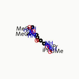 CCCN(Cc1nc2ccc(-c3ccc4c(c3)COc3cc5c6c(ccc5cc3-4)NC([C@@H]3C[C@H](COC)CN3C(=O)[C@H](NC(=O)OC)c3ccccc3)N6)cc2[nH]1)C(=O)[C@@H](NC(=O)OC)C(C)C